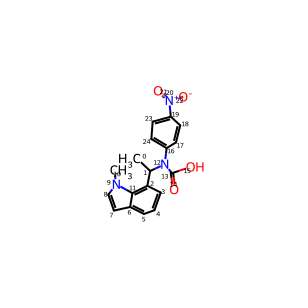 CC(c1cccc2ccn(C)c12)N(C(=O)O)c1ccc([N+](=O)[O-])cc1